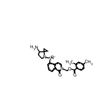 Cc1ccc(C(=O)OCn2ccc3c([S+]([O-])N4CCC(N)C45CC5)cccc3c2=O)c(C)c1